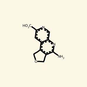 Nc1nc2cnc(C(=O)O)cc2c2c1COC2